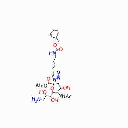 COC(=O)C1(n2cc(CCCCNC(=O)OCc3ccccc3)nn2)CC(O)C(NC(C)=O)C(C(O)[C@H](O)CN)O1